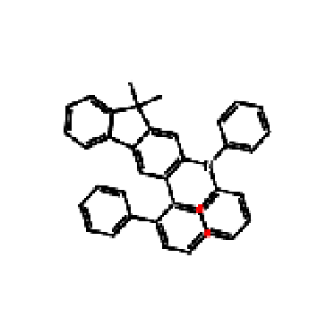 CC1(C)c2ccccc2-c2cc(-c3ccccc3-c3ccccc3)c(N(c3ccccc3)c3ccccc3)cc21